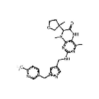 Cc1nc(NCc2cnn(Cc3ccc(C(F)(F)F)nc3)c2)nc2c1NC(=O)C(C1(C)CCOC1)N2C